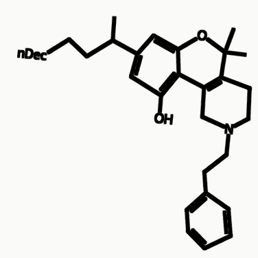 CCCCCCCCCCCCC(C)c1cc(O)c2c(c1)OC(C)(C)C1=C2CN(CCc2ccccc2)CC1